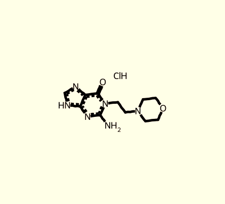 Cl.Nc1nc2[nH]cnc2c(=O)n1CCN1CCOCC1